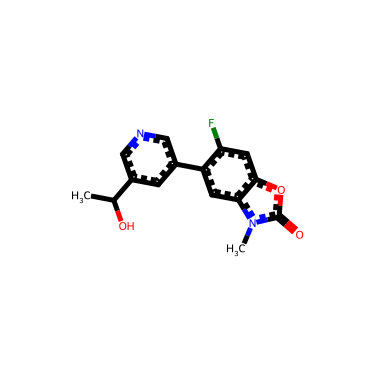 CC(O)c1cncc(-c2cc3c(cc2F)oc(=O)n3C)c1